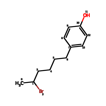 CC(Br)CCCCc1ccc(O)cc1